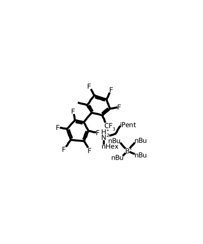 CCCCCC[NH2+]CC(C)CCC.CCCC[B-](CCCC)(CCCC)CCCC.Cc1c(F)c(F)c(F)c(C(F)(F)F)c1-c1c(F)c(F)c(F)c(F)c1F